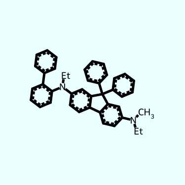 CCN(C)c1ccc2c(c1)C(c1ccccc1)(c1ccccc1)c1cc(N(CC)c3ccccc3-c3ccccc3)ccc1-2